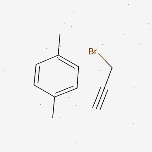 C#CCBr.Cc1ccc(C)cc1